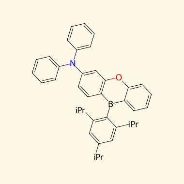 CC(C)c1cc(C(C)C)c(B2c3ccccc3Oc3cc(N(c4ccccc4)c4ccccc4)ccc32)c(C(C)C)c1